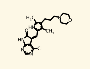 Cc1[nH]c(/C=C2\C(=O)Nc3ncnc(Cl)c32)c(C)c1CCCN1CCOCC1